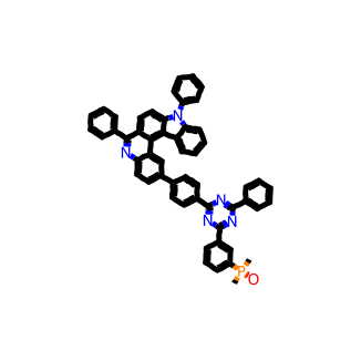 CP(C)(=O)c1cccc(-c2nc(-c3ccccc3)nc(-c3ccc(-c4ccc5nc(-c6ccccc6)c6ccc7c(c8ccccc8n7-c7ccccc7)c6c5c4)cc3)n2)c1